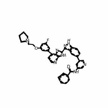 O=C(Nc1cncc(-c2ccc3[nH]nc(-c4nc5c(-c6cc(F)cc(OCCN7CCCC7)c6)ccnc5[nH]4)c3c2)c1)c1ccccc1